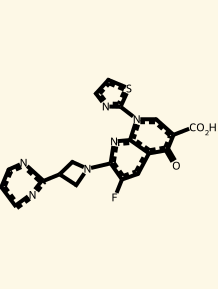 O=C(O)c1cn(-c2nccs2)c2nc(N3CC(c4ncccn4)C3)c(F)cc2c1=O